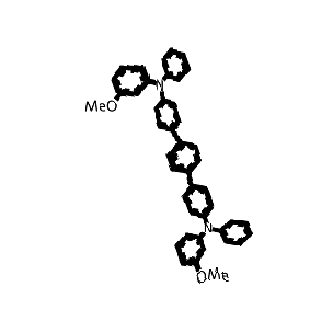 COc1cccc(N(c2ccccc2)c2ccc(-c3ccc(-c4ccc(N(c5ccccc5)c5cccc(OC)c5)cc4)cc3)cc2)c1